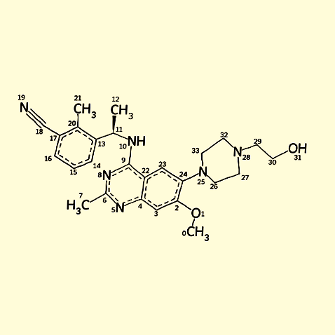 COc1cc2nc(C)nc(N[C@H](C)c3cccc(C#N)c3C)c2cc1N1CCN(CCO)CC1